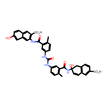 Cc1ccc(NC(=O)Nc2ccc(C)c(C(=O)NC3(O)C=Cc4cc(S(=O)(=O)O)ccc4C3)c2)cc1C(=O)Nc1cc2cc(O)ccc2cc1S(=O)(=O)O